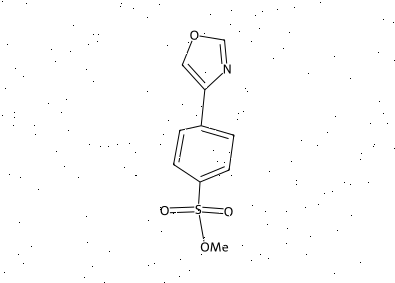 COS(=O)(=O)c1ccc(-c2cocn2)cc1